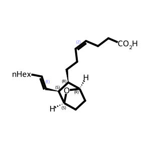 CCCCCC/C=C/[C@H]1[C@@H](CC/C=C\CCC(=O)O)[C@H]2CC[C@@H]1O2